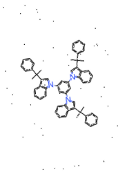 CC(C)(c1ccccc1)c1cn(-c2cc(-n3cc(C(C)(C)c4ccccc4)c4ccccc43)cc(-n3cc(C(C)(C)c4ccccc4)c4ccccc43)c2)c2ccccc12